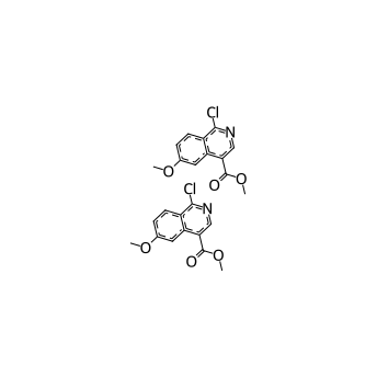 COC(=O)c1cnc(Cl)c2ccc(OC)cc12.COC(=O)c1cnc(Cl)c2ccc(OC)cc12